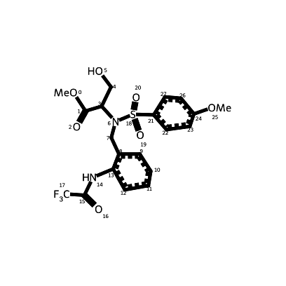 COC(=O)C(CO)N(Cc1ccccc1NC(=O)C(F)(F)F)S(=O)(=O)c1ccc(OC)cc1